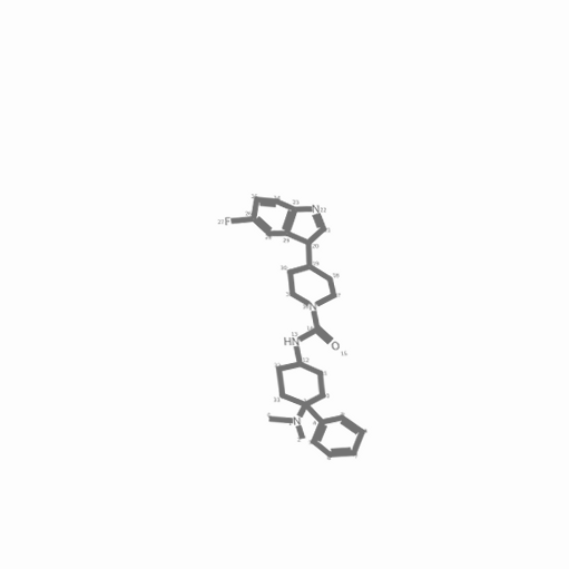 CN(C)C1(c2ccccc2)CCC(NC(=O)N2CCC(C3C=Nc4ccc(F)cc43)CC2)CC1